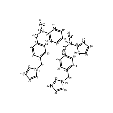 CC(=O)N(Oc1ccc(Cn2ccnc2)cc1)c1ncccn1.CC(=O)N(Oc1ccc(Cn2ccnc2)cc1)c1nccs1